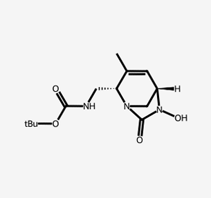 CC1=C[C@H]2CN(C(=O)N2O)[C@@H]1CNC(=O)OC(C)(C)C